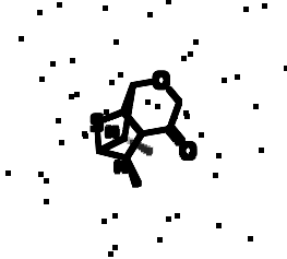 C[C@@H]1C2C(=O)COC3C2SC1[C@H]3C